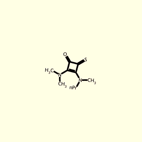 CCCN(C)c1c(N(C)C)c(=O)c1=S